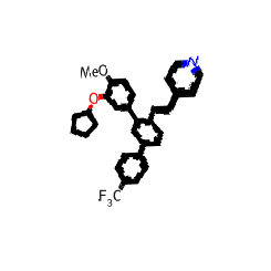 COc1ccc(-c2cc(-c3ccc(C(F)(F)F)cc3)ccc2C=Cc2ccncc2)cc1OC1CCCC1